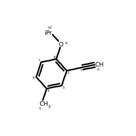 C#Cc1cc(C)ccc1OC(C)C